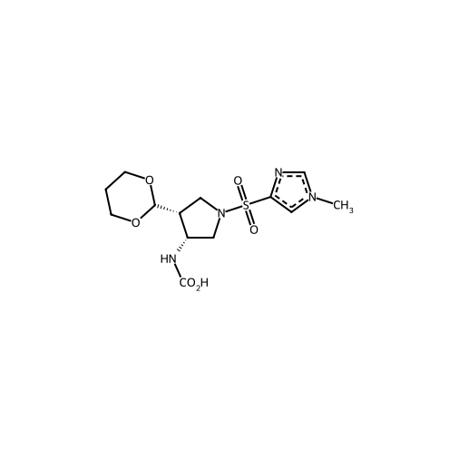 Cn1cnc(S(=O)(=O)N2C[C@H](NC(=O)O)[C@H](C3OCCCO3)C2)c1